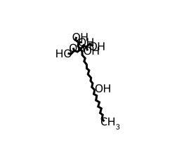 CCCCCCCCCCC(O)CCCCCCCCCCCCC(CC(O)CO)(CC(O)CO)CC(O)CO